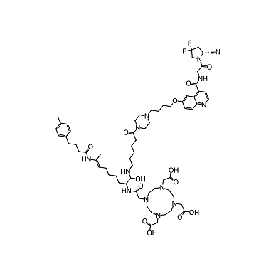 C/C(=C\CCCCC(NC(=O)CN1CCN(CC(=O)O)CCN(CC(=O)O)CCN(CC(=O)O)CC1)C(O)NCCCCCC(=O)N1CCN(CCCCOc2ccc3nccc(C(=O)NCC(=O)N4CC(F)(F)C[C@@H]4C#N)c3c2)CC1)NC(=O)CCCc1ccc(C)cc1